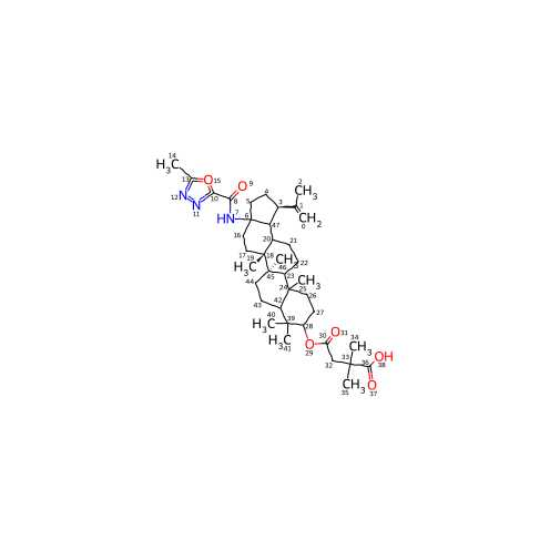 C=C(C)[C@@H]1CCC2(NC(=O)c3nnc(C)o3)CC[C@]3(C)C(CCC4C5(C)CCC(OC(=O)CC(C)(C)C(=O)O)C(C)(C)C5CC[C@]43C)C12